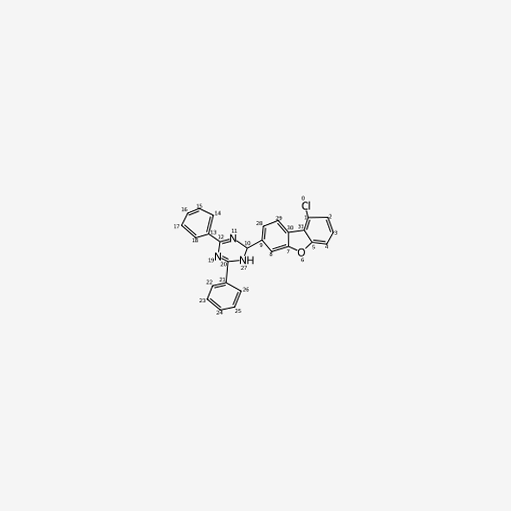 Clc1cccc2oc3cc(C4N=C(c5ccccc5)N=C(c5ccccc5)N4)ccc3c12